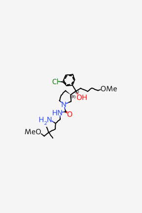 COCCCC[C@@](O)(c1cccc(Cl)c1)[C@@H]1CCCN(C(=O)NCC(N)CC(C)(C)COC)C1